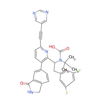 CC(C)(C)N(C(=O)O)C(Cc1cc(F)cc(F)c1)c1nc(C#Cc2cncnc2)ccc1-c1ccc2c(c1)C(=O)NC2